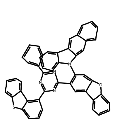 c1ccc(-c2nc(-c3cc4c(cc3-n3c5ccccc5c5cc6ccccc6cc53)oc3ccccc34)nc(-c3cccc4sc5ccccc5c34)n2)cc1